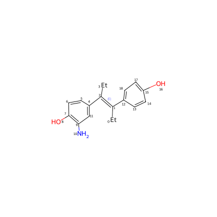 CC/C(=C(/CC)c1ccc(O)c(N)c1)c1ccc(O)cc1